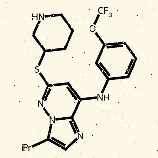 CC(C)c1cnc2c(Nc3cccc(OC(F)(F)F)c3)cc(SC3CCCNC3)nn12